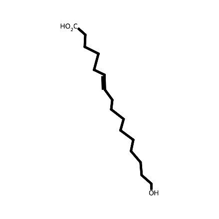 O=C(O)CCCC/C=C/CCCCCCCCCO